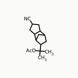 CC(=O)OC(C)(C)C1CC2CC1C1CC(C#N)CC21